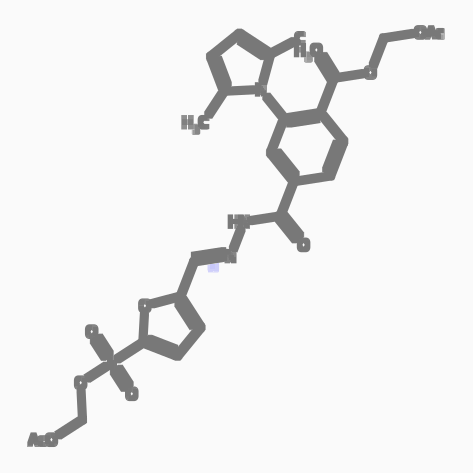 CC(=O)OCOC(=O)c1ccc(C(=O)N/N=C/c2ccc(S(=O)(=O)OCOC(C)=O)o2)cc1-n1c(C)ccc1C